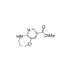 COC(=O)c1cnc2c(c1)OCCCN2